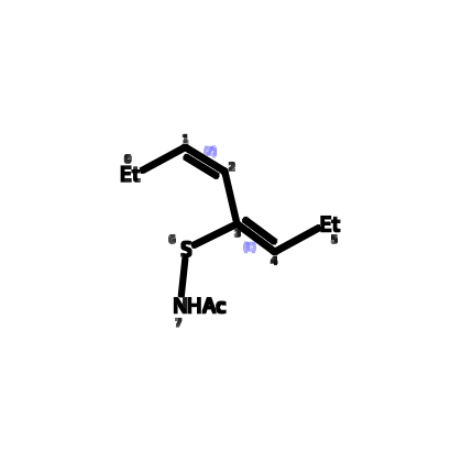 CC/C=C\C(=C/CC)SNC(C)=O